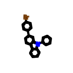 Brc1ccc(-c2ccc3c4ccccc4n(-c4ccccc4)c3c2)cc1